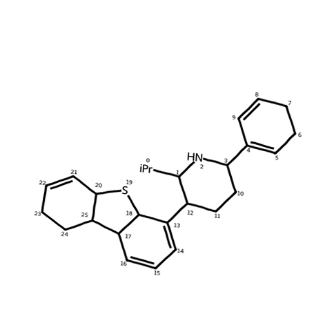 CC(C)C1NC(C2=CCCC=C2)CCC1C1=CC=CC2C1SC1C=CCCC12